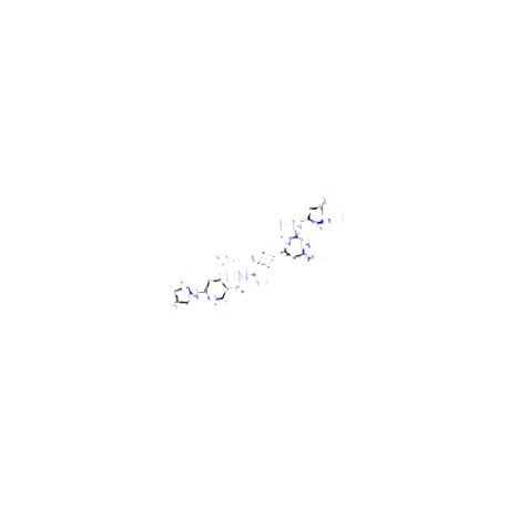 CO[C@]1(C(=O)N[C@@H](C)c2ccc(-n3cc(F)cn3)nc2)C[C@H](c2cc(C)nc(Nc3cc(C)[nH]n3)n2)C1